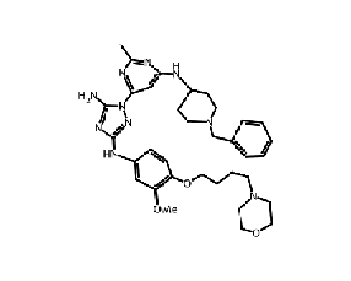 COc1cc(Nc2nc(N)n(-c3cc(NC4CCN(Cc5ccccc5)CC4)nc(C)n3)n2)ccc1OCCCCN1CCOCC1